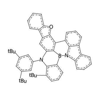 CC(C)(C)c1cc(N2c3cc4c(oc5ccccc54)c4c3B(c3cccc(C(C)(C)C)c32)n2c3ccccc3c3cccc-4c32)cc(C(C)(C)C)c1